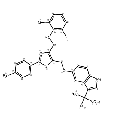 CC(C)(C(=O)O)c1c[nH]c2ccc(OCc3sc(-c4ccc(C(F)(F)F)cc4)nc3COc3c(F)cccc3Cl)cc12